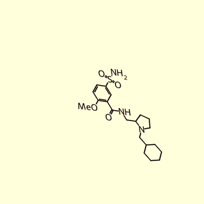 COc1ccc(S(N)(=O)=O)cc1C(=O)NCC1CCCN1CC1CCCCC1